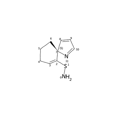 NSC1=CCCC[C@]12C=CC=N2